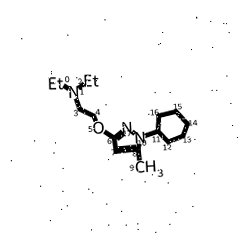 CCN(CC)CCOc1cc(C)n(C2CCCCC2)n1